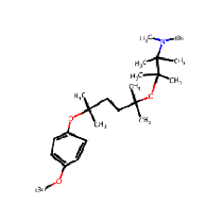 CN(C(C)(C)C)C(C)(C)C(C)(C)OC(C)(C)CCC(C)(C)Oc1ccc(OC(C)(C)C)cc1